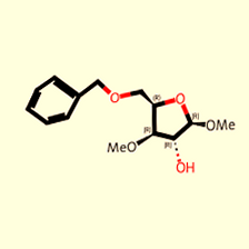 CO[C@@H]1O[C@H](COCc2ccccc2)[C@H](OC)[C@H]1O